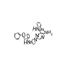 Nc1ncc(N2CC[C@H](NC(=O)COc3ccccc3)C2)nc1-c1nc2ccccc2[nH]1